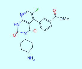 COC(=O)c1cccc(-c2c(F)cnc3[nH]c(=O)n([C@H]4CC[C@@H](N)CC4)c(=O)c23)c1